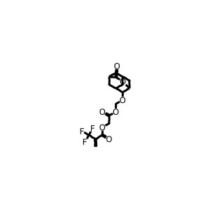 C=C(C(=O)OCC(=O)OCOC1C2CC3CC(C2)C(=O)OC1C3)C(F)(F)F